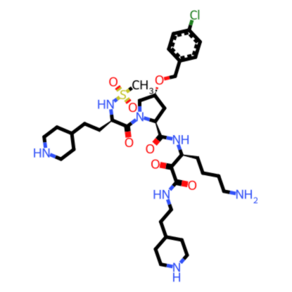 CS(=O)(=O)N[C@H](CCC1CCNCC1)C(=O)N1C[C@H](OCc2ccc(Cl)cc2)C[C@H]1C(=O)N[C@@H](CCCCN)C(=O)C(=O)NCCC1CCNCC1